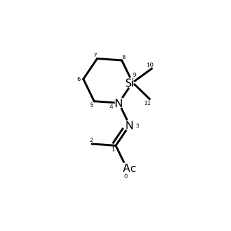 CC(=O)C(C)=NN1CCCC[Si]1(C)C